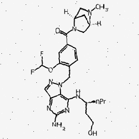 CCC[C@@H](CCO)Nc1nc(N)nc2cnn(Cc3ccc(C(=O)N4C[C@H]5C[C@@H]4CN5C)cc3OC(F)F)c12